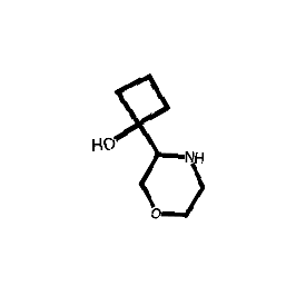 OC1(C2COCCN2)CCC1